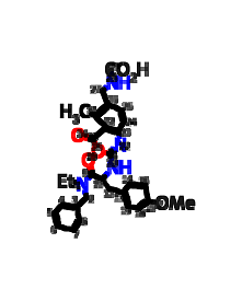 CCN(Cc1ccccc1)C(=O)[C@H](Cc1ccc(OC)cc1)Nc1nc2ccc(CNC(=O)O)c(C)c2c(=O)o1